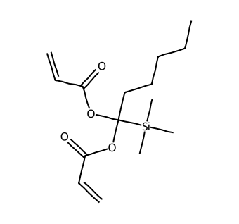 C=CC(=O)OC(CCCCC)(OC(=O)C=C)[Si](C)(C)C